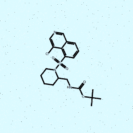 CC(C)(C)OC(=O)NCC1CCCCN1S(=O)(=O)c1cccc2cncc(Cl)c12